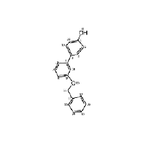 Oc1ccc(-c2[c]ccc(OCc3ccccc3)c2)cc1